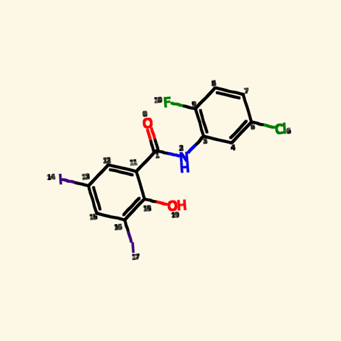 O=C(Nc1cc(Cl)ccc1F)c1cc(I)cc(I)c1O